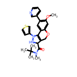 COc1cc2c(cc1-c1cccnc1)C1=C(CO2)C(C(=O)N(C)C(C)(C)C)NN1c1ccsc1